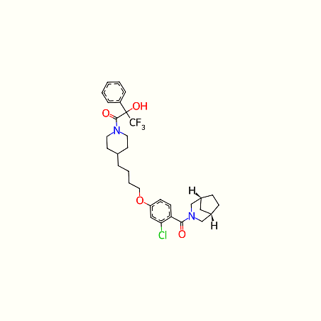 O=C(c1ccc(OCCCCC2CCN(C(=O)C(O)(c3ccccc3)C(F)(F)F)CC2)cc1Cl)N1C[C@@H]2CC[C@@H](C2)C1